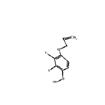 C=CCOc1ccc(OCCC)c(F)c1F